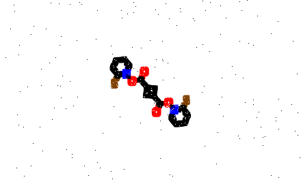 O=C(On1ccccc1=S)C12CC(C(=O)On3ccccc3=S)(C1)C2